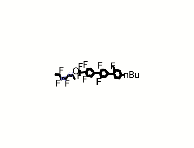 C=C(F)/C(F)=C(F)\C=C(/C)OC(F)(F)c1c(F)cc(-c2c(F)cc(-c3ccc(CCCC)cc3F)cc2F)cc1F